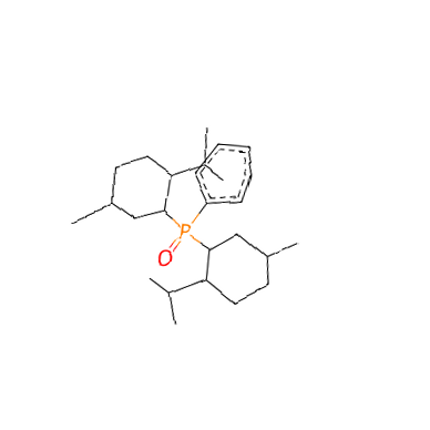 CC1CCC(C(C)C)C(P(=O)(c2ccccc2)C2CC(C)CCC2C(C)C)C1